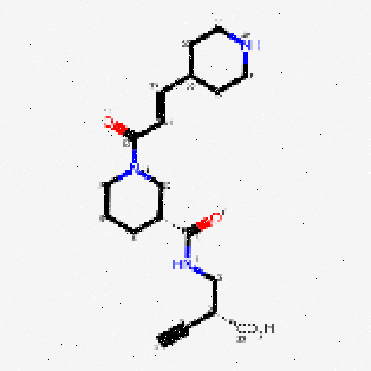 C#C[C@H](CNC(=O)[C@@H]1CCCN(C(=O)/C=C/C2CCNCC2)C1)C(=O)O